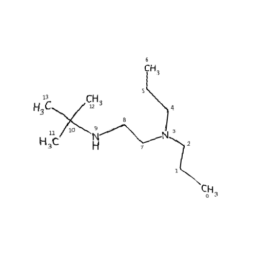 CCCN(CCC)CCNC(C)(C)C